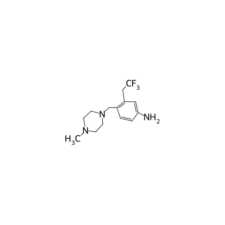 CN1CCN(Cc2ccc(N)cc2CC(F)(F)F)CC1